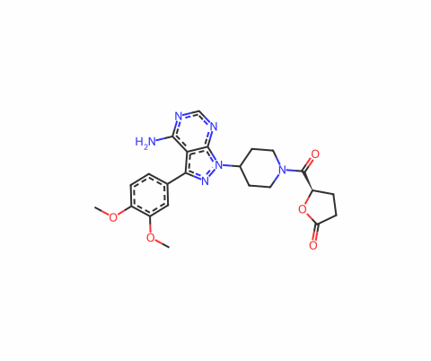 COc1ccc(-c2nn(C3CCN(C(=O)[C@H]4CCC(=O)O4)CC3)c3ncnc(N)c23)cc1OC